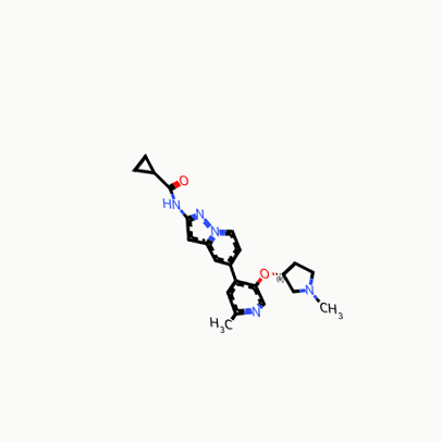 Cc1cc(-c2ccn3nc(NC(=O)C4CC4)cc3c2)c(O[C@@H]2CCN(C)C2)cn1